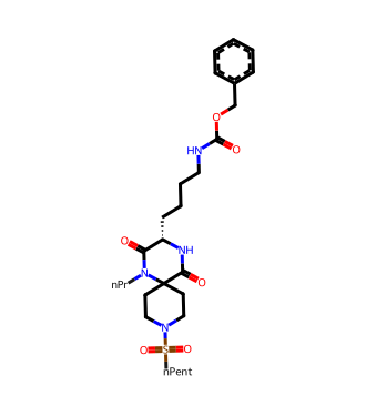 CCCCCS(=O)(=O)N1CCC2(CC1)C(=O)N[C@@H](CCCCNC(=O)OCc1ccccc1)C(=O)N2CCC